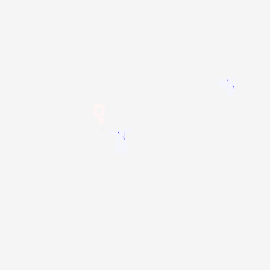 O=C(NCc1cccc(-c2ccncc2)c1)c1cc2ccccc2s1